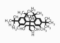 Cc1cc(C(O)(c2cc(C)c(C(C)(C)C)cc2C(C)(C)C)C(CO)(CO)CO)c(C(C)(C)C)cc1C(C)(C)C